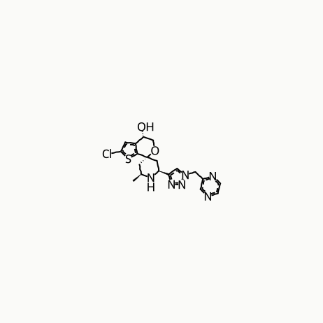 C[C@H]1C[C@@]2(C[C@@H](c3cn(Cc4cnccn4)nn3)N1)OC[C@@H](O)c1cc(Cl)sc12